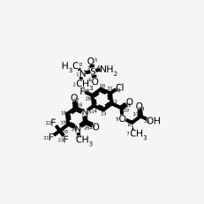 CN(C)S(N)(=O)=O.C[C@H](OC(=O)c1cc(-n2c(=O)cc(C(F)(F)F)n(C)c2=O)c(F)cc1Cl)C(=O)O